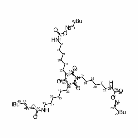 CCC(C)C=NOC(=O)NCCCCCCn1c(=O)n(CCCCCCNC(=O)ON=CC(C)CC)c(=O)n(CCCCCCNC(=O)ON=CC(C)CC)c1=O